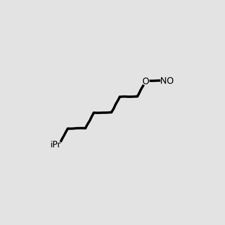 CC(C)CCCCCCON=O